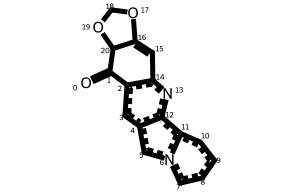 O=C1c2cc3cn4ccccc4c3nc2C=C2OCOC12